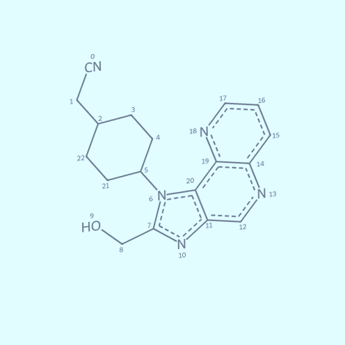 N#CCC1CCC(n2c(CO)nc3cnc4cccnc4c32)CC1